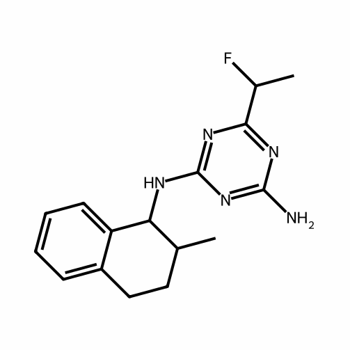 CC(F)c1nc(N)nc(NC2c3ccccc3CCC2C)n1